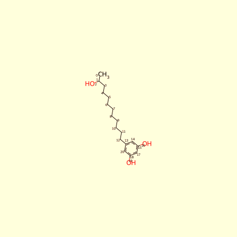 CC(O)CCCCCCCCCCc1cc(O)cc(O)c1